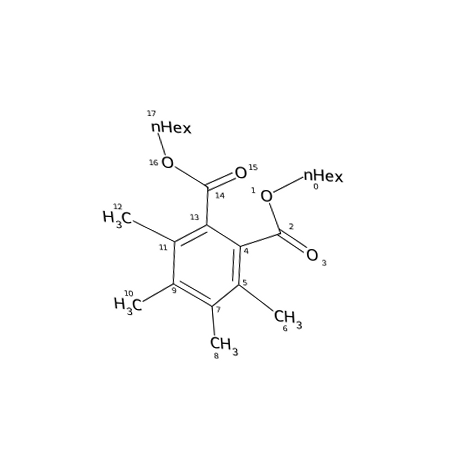 CCCCCCOC(=O)c1c(C)c(C)c(C)c(C)c1C(=O)OCCCCCC